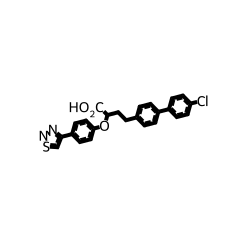 O=C(O)C(CCc1ccc(-c2ccc(Cl)cc2)cc1)Oc1ccc(-c2csnn2)cc1